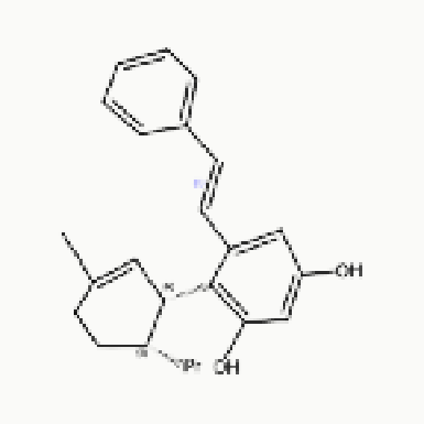 CC1=C[C@H](c2c(O)cc(O)cc2/C=C/c2ccccc2)[C@H](C(C)C)CC1